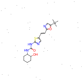 C[Si](C)(C)c1cnc(/C=C/c2cnc(NC(=O)NC3CCCCC3O)s2)o1